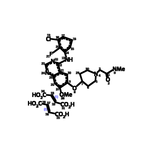 CNC(=O)CN1CCC(Oc2cc3c(Nc4cccc(Cl)c4F)ncnc3cc2OC)CC1.O=C(O)/C=C/C(=O)O.O=C(O)/C=C/C(=O)O